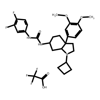 COc1ccc(C23CCC(NC(=O)Nc4ccc(F)c(F)c4)CC2N(C2CCC2)CC3)cc1OC.O=C(O)C(F)(F)F